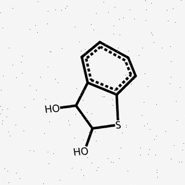 OC1Sc2ccccc2C1O